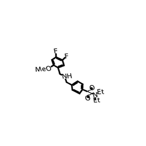 CCN(CC)S(=O)(=O)c1ccc(CNCc2cc(F)c(F)cc2OC)cc1